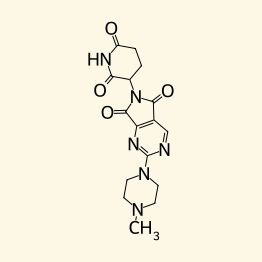 CN1CCN(c2ncc3c(n2)C(=O)N(C2CCC(=O)NC2=O)C3=O)CC1